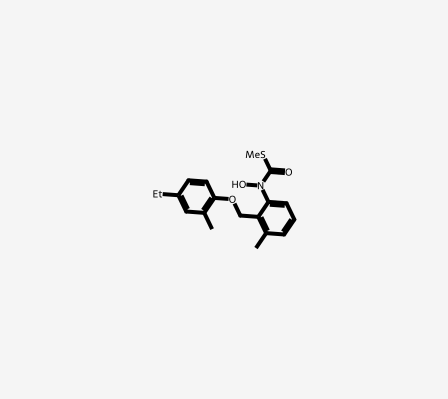 CCc1ccc(OCc2c(C)cccc2N(O)C(=O)SC)c(C)c1